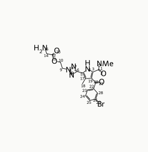 CNC(=O)c1[nH]c(C2=N[N+](CCOC(=O)CN)=N2)c(C)c1C(=O)c1cccc(Br)c1